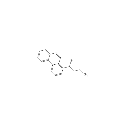 CCCC([S])c1cccc2c1ccc1ccccc12